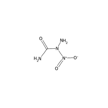 NC(=O)N(N)[N+](=O)[O-]